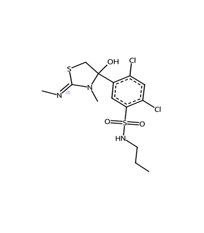 CCCNS(=O)(=O)c1cc(C2(O)CS/C(=N\C)N2C)c(Cl)cc1Cl